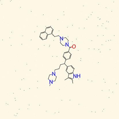 Cc1[nH]c2ccc(C(CCCN3CCN(C)CC3)c3ccc(C(=O)N4CCN(CCc5cccc6ccccc56)CC4)cc3)cc2c1C